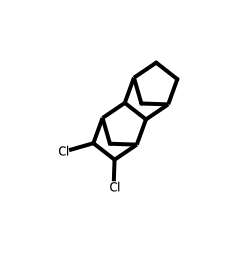 ClC1C(Cl)C2CC1C1C3CCC(C3)C21